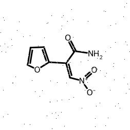 NC(=O)C(=C[N+](=O)[O-])c1ccco1